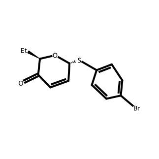 CC[C@H]1O[C@H](Sc2ccc(Br)cc2)C=CC1=O